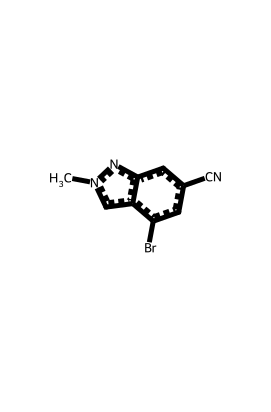 Cn1cc2c(Br)cc(C#N)cc2n1